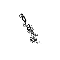 Cc1coc(C(=O)NC[C@H](NC(=O)c2c(Cl)cc3c(c2Cl)CCN(C(=O)c2ccc4ccoc4c2)C3)C(=O)O)c1[S+](C)[O-]